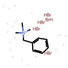 Br.Br.Br.Br.Br.C[N+](C)(C)Cc1ccccc1